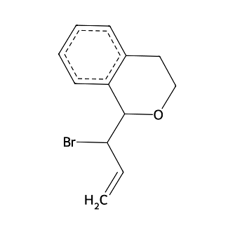 C=CC(Br)C1OCCc2ccccc21